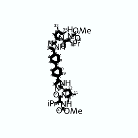 COC(=O)NC(C(=O)N1[C@H](C)[C@H](C)C[C@H]1c1ncc(-c2ccc(-c3ccc(-c4cnc([C@@H]5C[C@@H](C)[C@@H](C)N5C(=O)[C@@H](NC(=O)OC)C(C)C)[nH]4)cc3)cc2)[nH]1)C(C)C